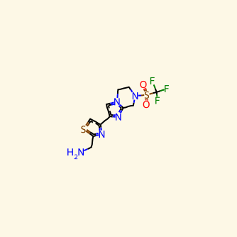 NCc1nc(-c2cn3c(n2)CN(S(=O)(=O)C(F)(F)F)CC3)cs1